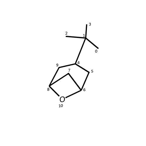 CC(C)(C)C1CC2CC(C1)O2